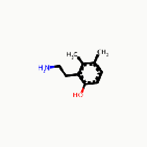 Cc1ccc(O)c(CCN)c1C